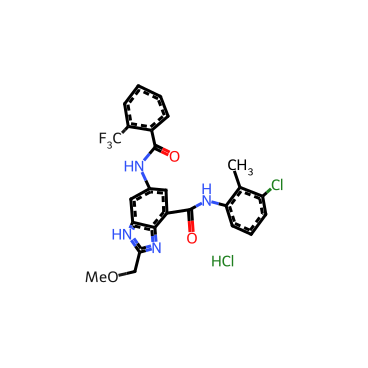 COCc1nc2c(C(=O)Nc3cccc(Cl)c3C)cc(NC(=O)c3ccccc3C(F)(F)F)cc2[nH]1.Cl